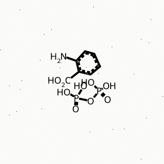 Nc1ccccc1C(=O)O.O=P(O)(O)OP(=O)(O)O